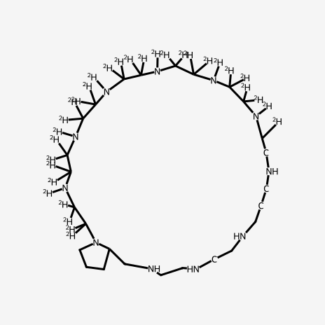 [2H]C1CNCCCNCCNCCNCC2CCCN2C([2H])([2H])C([2H])([2H])N([2H])C([2H])([2H])C([2H])([2H])N([2H])C([2H])([2H])C([2H])([2H])N([2H])C([2H])([2H])C([2H])([2H])N([2H])C([2H])([2H])C([2H])([2H])N([2H])C([2H])([2H])C([2H])([2H])N1[2H]